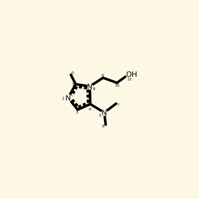 Cc1ncc(N(C)C)n1CCO